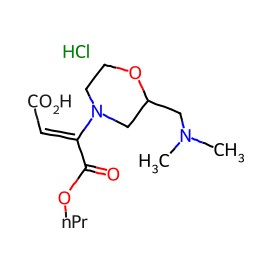 CCCOC(=O)/C(=C/C(=O)O)N1CCOC(CN(C)C)C1.Cl